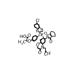 C#CCN1C(=O)COc2cc(F)c(N3C(=O)C4=C(CCCC4)C3=O)cc21.CC(Oc1ccc(Oc2cnc3cc(Cl)ccc3n2)cc1)C(=O)O